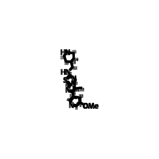 COc1cncc(-c2nc3sc(NCC4CCNCC4)nn3c2C)c1